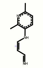 Cc1ccc(N/C=C\C=N)c(C)n1